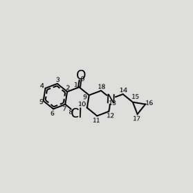 O=C(c1ccccc1Cl)C1CCCN(CC2CC2)C1